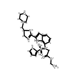 CCOC(=O)CN(c1cccc2cc(C3=NCC(CN4CCOCC4)S3)[nH]c12)S(=O)(=O)c1cccs1